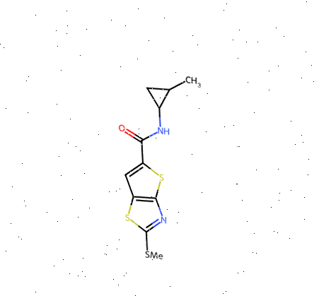 CSc1nc2sc(C(=O)NC3CC3C)cc2s1